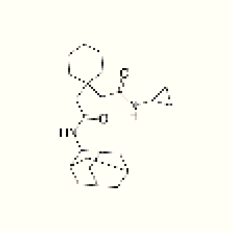 O=C(CC1(CC(=O)NC2C3CC4CC(C3)CC2C4)CCCCC1)NC1CC1